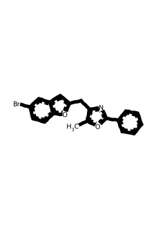 Cc1oc(-c2ccccc2)nc1Cc1cc2cc(Br)ccc2o1